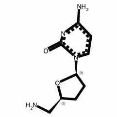 NC[C@@H]1CC[C@H](n2ccc(N)nc2=O)O1